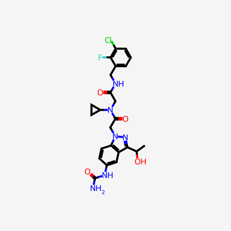 CC(O)c1nn(CC(=O)N(CC(=O)NCc2cccc(Cl)c2F)C2CC2)c2ccc(NC(N)=O)cc12